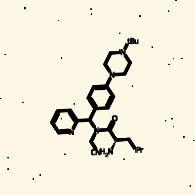 CC(C)C[C@H](N)C(=O)N(CC#N)C(c1ccc(N2CCN(C(C)(C)C)CC2)cc1)c1ccccn1